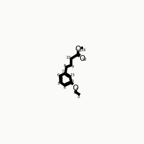 CCOc1cccc(CCCC(=O)OC)c1